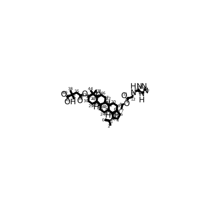 C=C(C)[C@@H]1CC[C@]2(CCOC(=O)CNc3nnn[nH]3)CC[C@]3(C)[C@H](CC[C@@H]4[C@@]5(C)CC[C@H](OC(=O)CC(C)(C)C(=O)O)C(C)(C)[C@@H]5CC[C@]43C)[C@@H]12